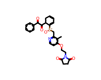 Cc1c(OCCN2C(=O)CCC2=O)ccnc1C[S+]([O-])C1=CC=CCC1C(=O)C(=O)c1ccccc1